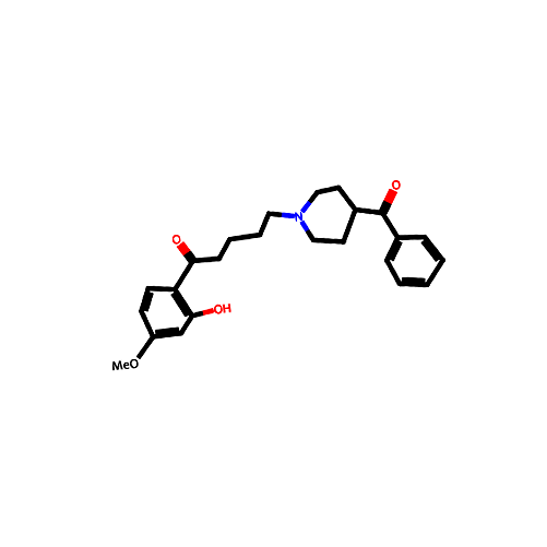 COc1ccc(C(=O)CCCCN2CCC(C(=O)c3ccccc3)CC2)c(O)c1